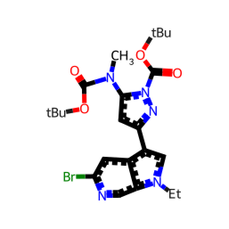 CCn1cc(-c2cc(N(C)C(=O)OC(C)(C)C)n(C(=O)OC(C)(C)C)n2)c2cc(Br)ncc21